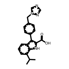 CC(C)c1cccc2c(-c3ccc(Cn4cncn4)cc3)c(C(=O)O)[nH]c12